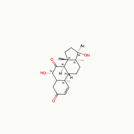 CC(=O)[C@@]1(O)CC[C@H]2[C@@H]3C(=O)[C@@H](O)C4CC(=O)C=C[C@]4(C)[C@H]3CC[C@@]21C